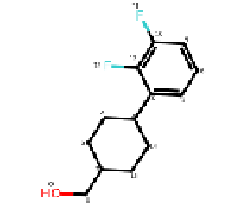 OCC1CCC(c2cccc(F)c2F)CC1